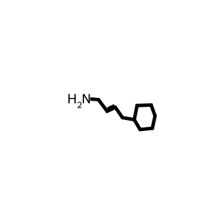 NCC=CCC1CCCCC1